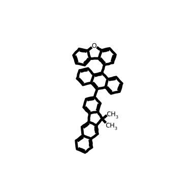 CC1(C)c2cc(-c3c4ccccc4c(-c4cccc5oc6ccccc6c45)c4ccccc34)ccc2-c2cc3ccccc3cc21